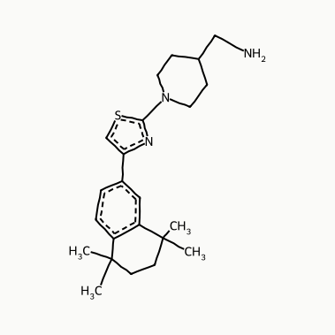 CC1(C)CCC(C)(C)c2cc(-c3csc(N4CCC(CN)CC4)n3)ccc21